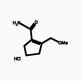 COCC1=C(C(N)=O)CCC1.Cl